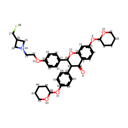 O=C1c2ccc(OC3CCCCO3)cc2OC(c2ccc(OCCN3CC(CF)C3)cc2)C1c1ccc(OC2CCCCO2)cc1